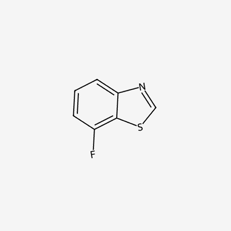 Fc1cccc2ncsc12